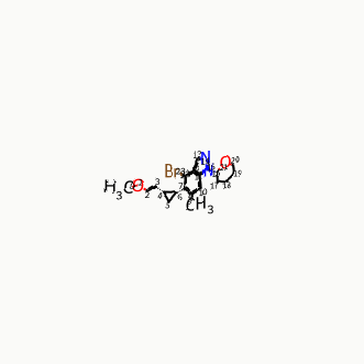 COC=C[C@H]1C[C@H]1c1c(C)cc2c(cnn2[C@H]2CCCCO2)c1Br